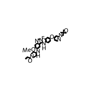 C=CC(=O)N1CCC(Nc2cc3c(Nc4ccc(Oc5ccnc(N6CC7(COC7)C6)c5)cc4F)ncnc3cc2OC)CC1